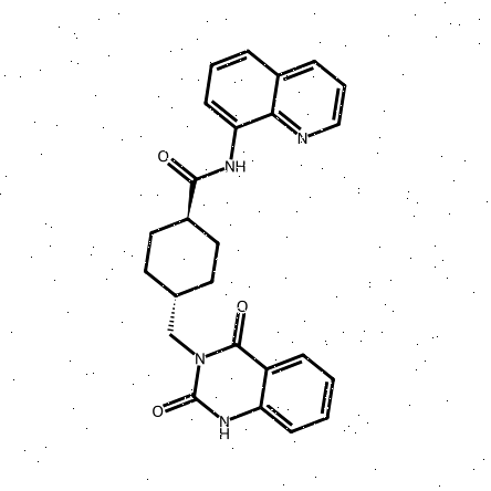 O=c1[nH]c2ccccc2c(=O)n1C[C@H]1CC[C@H](C(=O)Nc2cccc3cccnc23)CC1